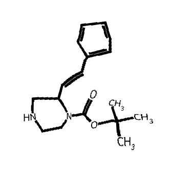 CC(C)(C)OC(=O)N1CCNCC1C=Cc1ccccc1